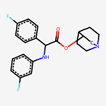 O=C(OC1CN2CCC1CC2)C(Nc1cccc(F)c1)c1ccc(F)cc1